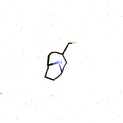 FCC1CC2CCC(C1)N2